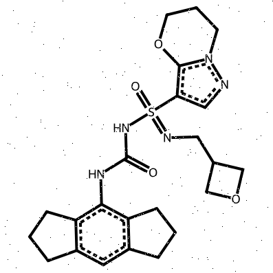 O=C(Nc1c2c(cc3c1CCC3)CCC2)NS(=O)(=NCC1COC1)c1cnn2c1OCCC2